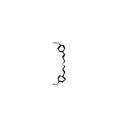 COc1ccc(/C=C/COC/C=C/c2ccc(OC)cc2)cc1